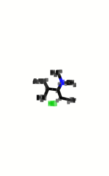 CC(=O)NC(C)C(CC(C)C)N(C)C.Cl